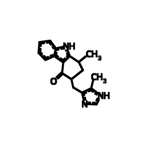 Cc1[nH]cnc1CC1CC(C)c2[nH]c3ccccc3c2C1=O